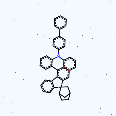 c1ccc(-c2ccc(N(c3ccccc3)c3ccccc3-c3cccc4c3-c3ccccc3C43CC4CCC3C4)cc2)cc1